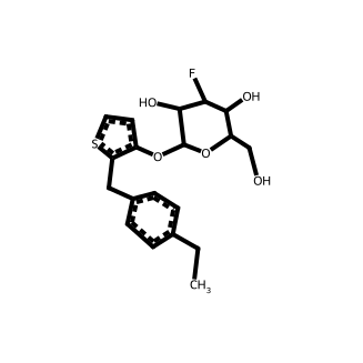 CCc1ccc(Cc2sccc2OC2OC(CO)C(O)C(F)C2O)cc1